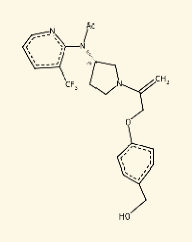 C=C(COc1ccc(CO)cc1)N1CC[C@H](N(C(C)=O)c2ncccc2C(F)(F)F)C1